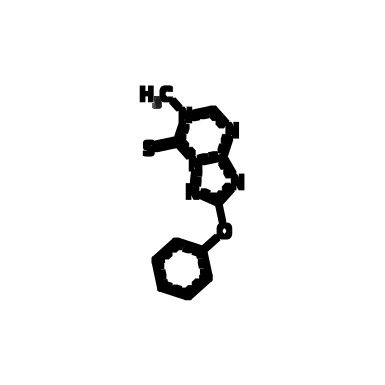 Cn1cnc2nc(Oc3ccccc3)nn2c1=S